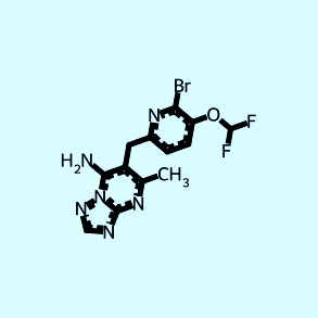 Cc1nc2ncnn2c(N)c1Cc1ccc(OC(F)F)c(Br)n1